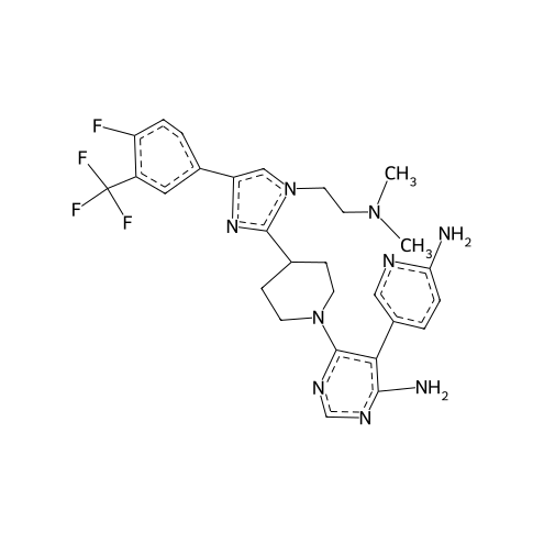 CN(C)CCn1cc(-c2ccc(F)c(C(F)(F)F)c2)nc1C1CCN(c2ncnc(N)c2-c2ccc(N)nc2)CC1